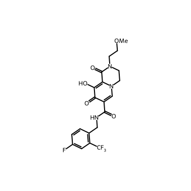 COCCN1CCn2cc(C(=O)NCc3ccc(F)cc3C(F)(F)F)c(=O)c(O)c2C1=O